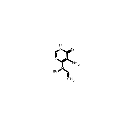 C=CN(c1nc[nH]c(=O)c1N)C(C)C